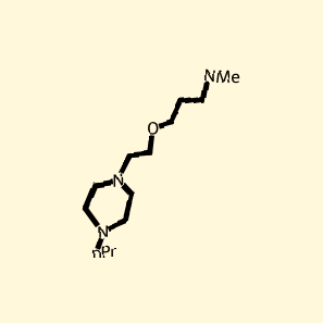 CCCN1CCN(CCOCCCNC)CC1